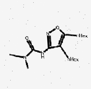 CCCCCCc1onc(NC(=O)N(C)C)c1CCCCCC